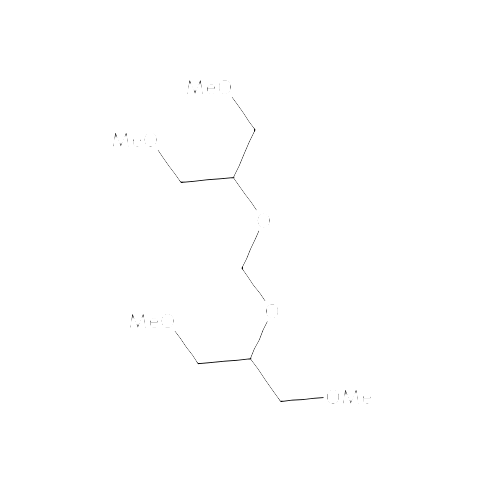 COCC(COC)OCOC(COC)COC